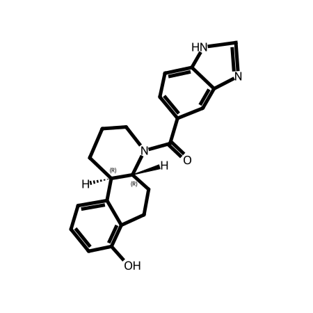 O=C(c1ccc2[nH]cnc2c1)N1CCC[C@@H]2c3cccc(O)c3CC[C@H]21